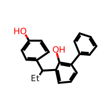 CCC(c1ccc(O)cc1)c1cccc(-c2ccccc2)c1O